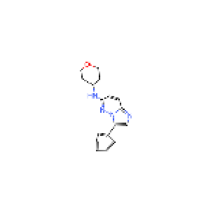 c1ccc(-c2cnc3ccc(NC4CCOCC4)nn23)cc1